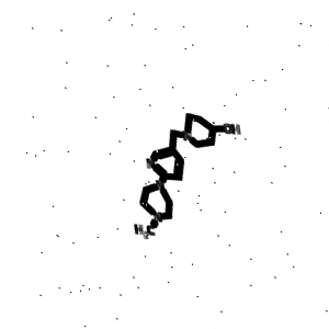 CN1CCN(c2ccc(CN3CCC(O)CC3)cn2)CC1